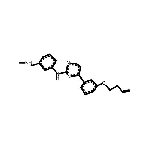 C=CCCOc1cccc(-c2ccnc(Nc3cccc(CNC)c3)n2)c1